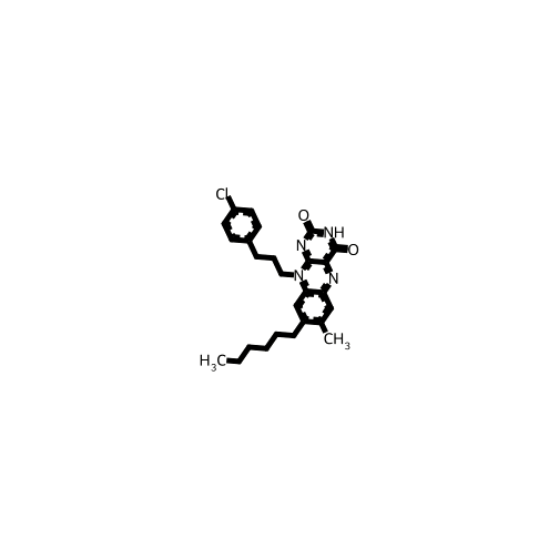 CCCCCCc1cc2c(cc1C)nc1c(=O)[nH]c(=O)nc-1n2CCCc1ccc(Cl)cc1